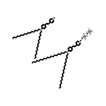 CCCCCCCCCCCCCCCCCCCCN(CCCCCCCCCCCCCCCCCCCC)c1ccc(C=Cc2cc[n+](C)cc2)cc1.CCCCCCCCCCCCCCCCN(CCCCCCCCCCCCCCCC)c1ccc(C=Cc2cc[n+](C)cc2)cc1.COS(=O)(=O)[O-].COS(=O)(=O)[O-]